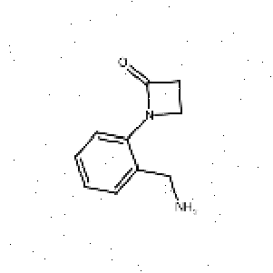 NCc1ccccc1N1CCC1=O